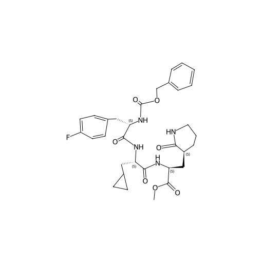 COC(=O)[C@H](C[C@@H]1CCCNC1=O)NC(=O)[C@H](CC1CC1)NC(=O)[C@H](Cc1ccc(F)cc1)NC(=O)OCc1ccccc1